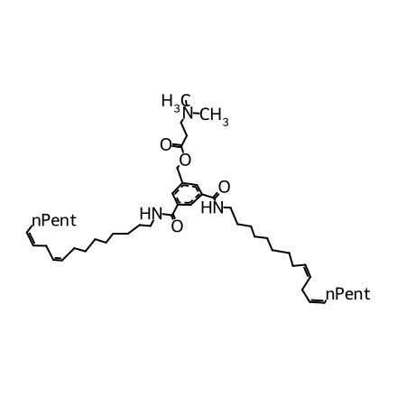 CCCCC/C=C\C/C=C\CCCCCCCCNC(=O)c1cc(COC(=O)CCN(C)C)cc(C(=O)NCCCCCCCC/C=C\C/C=C\CCCCC)c1